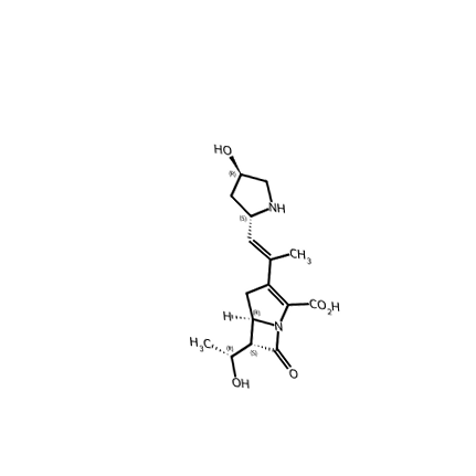 CC(=C[C@@H]1C[C@@H](O)CN1)C1=C(C(=O)O)N2C(=O)[C@H]([C@@H](C)O)[C@H]2C1